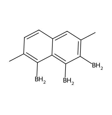 Bc1c(C)cc2ccc(C)c(B)c2c1B